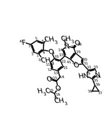 Cc1cc(F)cc(C)c1Oc1ccc(CC(=O)OC(C)C)cc1-c1cn(C)c(=O)c2cc(-c3cnc(C4CC4)[nH]3)oc12